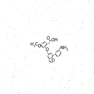 COc1ccc(CC(=O)O)c(OCc2cc(-c3cccc(CN)c3)c3occc3c2)c1